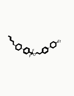 C/C=C/CC[C@H]1CC[C@H](c2ccc(C(F)(F)OCCc3ccc([C@H]4CC[C@H](CC)CC4)cc3)cc2)CC1